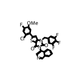 COc1cc(-c2cc3c(s2)c(=O)n(-c2cncc4ccccc24)c(=O)n3Cc2cc(F)c(F)c(F)c2)c(Cl)cc1F